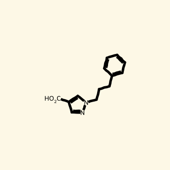 O=C(O)c1cnn(CCCc2ccccc2)c1